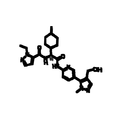 CCn1nccc1C(=O)N[C@H](C(=O)Nc1ccc(-c2c(CO)cnn2C)cn1)C1CCC(C)CC1